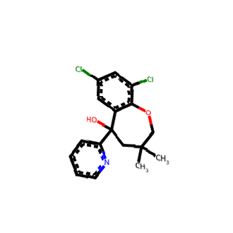 CC1(C)COc2c(Cl)cc(Cl)cc2C(O)(c2ccccn2)C1